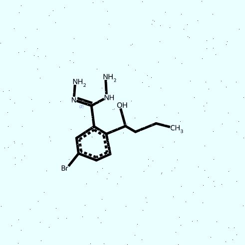 CCCC(O)c1ccc(Br)cc1/C(=N/N)NN